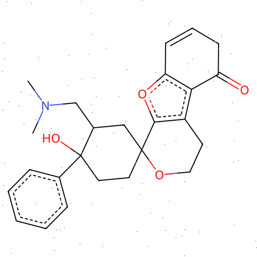 CN(C)CC1CC2(CCC1(O)c1ccccc1)OCCc1c2oc2c1C(=O)CC=C2